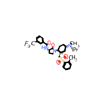 Cc1ccccc1S(=O)(=O)C[C@H]1C[C@H](N(C)C(C)C)CC[C@@H]1N1CC[C@H](NC(=O)c2cccc(C(F)(F)F)c2)C1=O